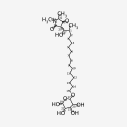 CC(CCCCCCCCCCCCCCOC1OC(O)C(O)C(O)C1O)/C(O)=C1\C(=O)C(C)N(C)C1=O